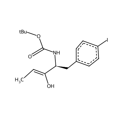 CC=C(O)[C@H](Cc1ccc(I)cc1)NC(=O)OC(C)(C)C